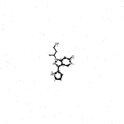 CC(CCO)n1nc(-c2ccc[nH]2)c2cnc(Cl)cc21